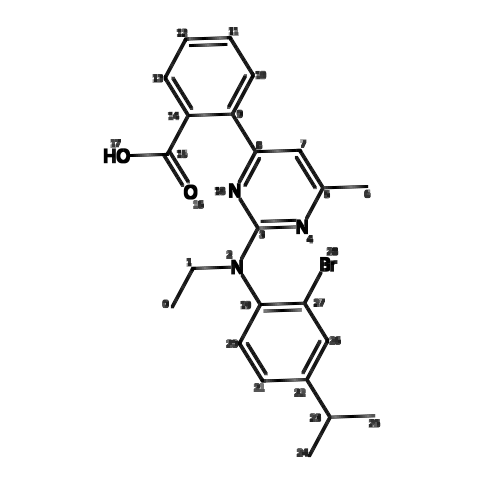 CCN(c1nc(C)cc(-c2ccccc2C(=O)O)n1)c1ccc(C(C)C)cc1Br